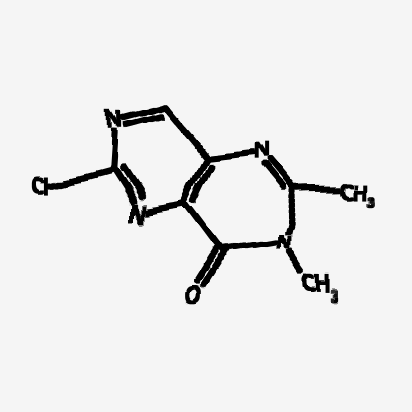 Cc1nc2cnc(Cl)nc2c(=O)n1C